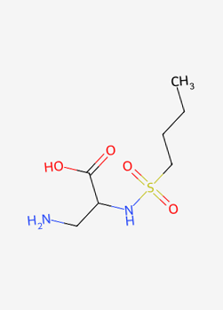 CCCCS(=O)(=O)NC(CN)C(=O)O